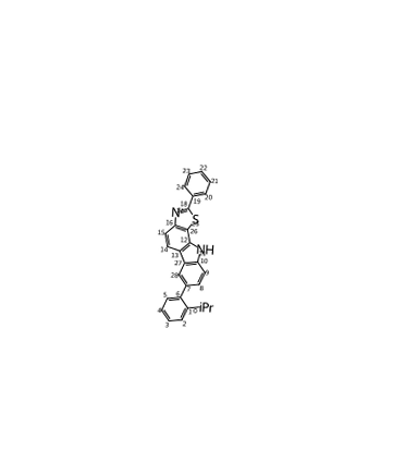 CC(C)c1ccccc1-c1ccc2[nH]c3c(ccc4nc(-c5ccccc5)sc43)c2c1